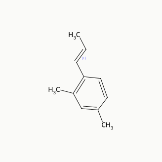 C/C=C/c1ccc(C)cc1C